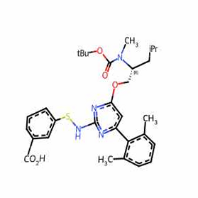 Cc1cccc(C)c1-c1cc(OC[C@@H](CC(C)C)N(C)C(=O)OC(C)(C)C)nc(NSc2cccc(C(=O)O)c2)n1